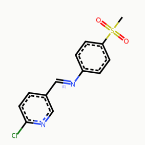 CS(=O)(=O)c1ccc(/N=C/c2ccc(Cl)nc2)cc1